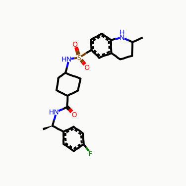 CC1CCc2cc(S(=O)(=O)NC3CCC(C(=O)N[C@H](C)c4ccc(F)cc4)CC3)ccc2N1